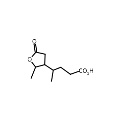 CC(CCC(=O)O)C1CC(=O)OC1C